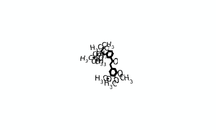 COc1cc(CC(=O)c2ccc3c(c2)C(O[Si](C)(C)C(C)(C)C)CC(C)(C)O3)cc(OC)c1OC